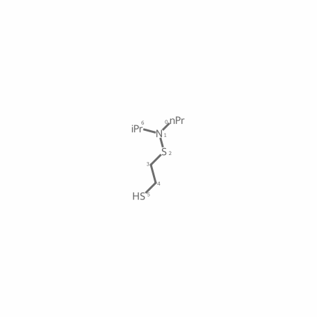 CCCN(SCCS)C(C)C